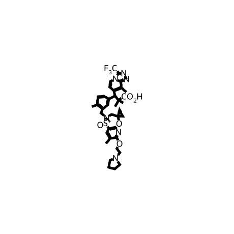 Cc1ccc(C(c2ccn3c(C(F)(F)F)nnc3c2C)C(C)(C)C(=O)O)cc1CN1CC2(CC2)Oc2nc(OCCN3CCCC3)c(C)cc2[S+]1[O-]